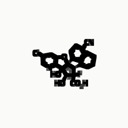 N#Cc1ccc([C@@]23Oc4cc(Cl)cnc4C2(O)[C@H](O)C(F)(C(=O)O)[C@H]3c2ccccc2)cc1